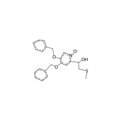 CSCC(O)c1cc(OCc2ccccc2)c(OCc2ccccc2)c[n+]1[O-]